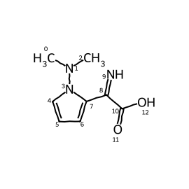 CN(C)n1cccc1C(=N)C(=O)O